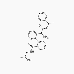 C[C@H](OC(=O)C(N)c1ccccc1-c1ccccc1C(=O)NC[C@@H](C)O)c1ccccc1